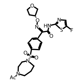 CC(=O)N1CCCN(S(=O)(=O)c2ccc(C(=NO[C@@H]3CCOC3)C(=O)Nc3ncc(F)s3)cc2)CC1